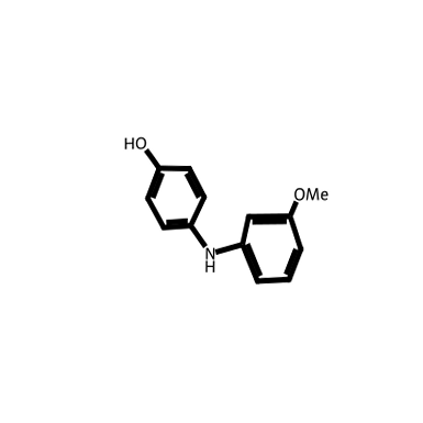 COc1cccc(Nc2ccc(O)cc2)c1